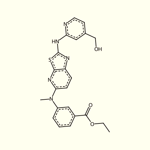 CCOC(=O)c1cccc(N(C)c2ccc3nc(Nc4cc(CO)ccn4)sc3n2)c1